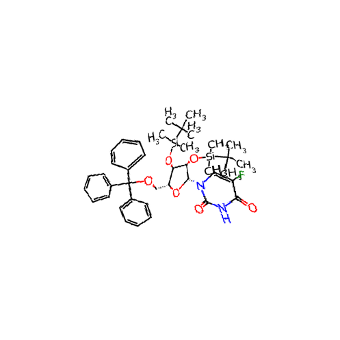 CC(C)(C)[Si](C)(C)O[C@@H]1[C@H](O[Si](C)(C)C(C)(C)C)[C@@H](COC(c2ccccc2)(c2ccccc2)c2ccccc2)O[C@H]1n1cc(F)c(=O)[nH]c1=O